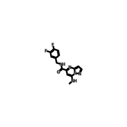 CNc1cc(C(=O)NCc2ccc(F)c(F)c2)nc2ccnn12